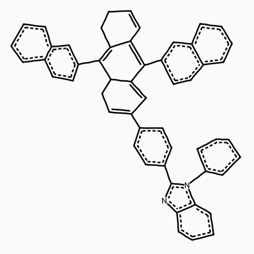 C1=CC2=C(c3ccc4ccccc4c3)C3=CC(c4ccc(-c5nc6ccccc6n5-c5ccccc5)cc4)=CCC3C(c3ccc4ccccc4c3)=C2CC1